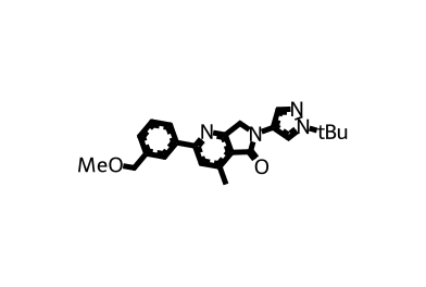 COCc1cccc(-c2cc(C)c3c(n2)CN(c2cnn(C(C)(C)C)c2)C3=O)c1